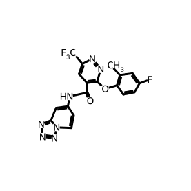 Cc1cc(F)ccc1Oc1nnc(C(F)(F)F)cc1C(=O)Nc1ccn2nnnc2c1